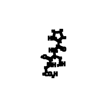 O=C(O)CNC(=O)[C@H](CS)NC(=O)[C@@H]1CCCN1